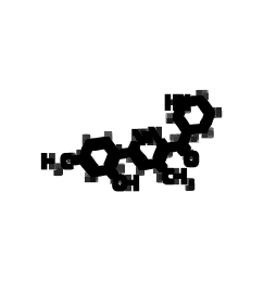 Cc1ccc(-c2cc(C)c(C(=O)C3CCCNC3)nn2)c(O)c1